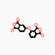 O=C1OC(=O)c2c(OC3=CC4C(=O)OC(=O)C4C=C3)cccc21